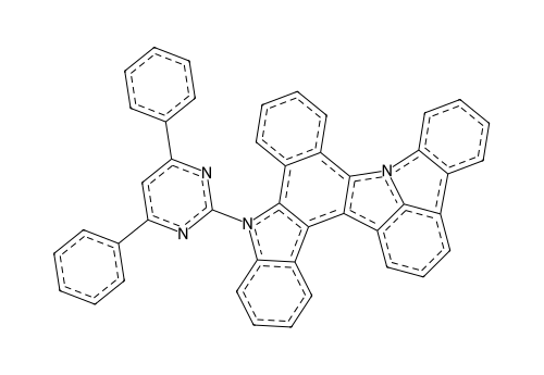 c1ccc(-c2cc(-c3ccccc3)nc(-n3c4ccccc4c4c5c6cccc7c8ccccc8n(c76)c5c5ccccc5c43)n2)cc1